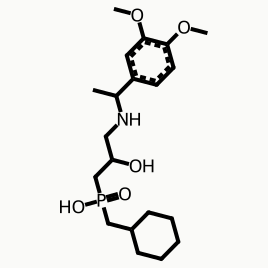 COc1ccc(C(C)NCC(O)CP(=O)(O)CC2CCCCC2)cc1OC